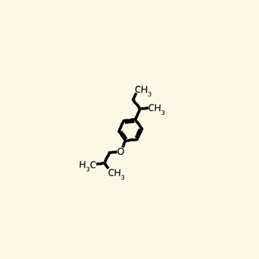 CCC(C)c1ccc(OCC(C)C)cc1